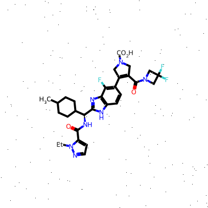 CCn1nccc1C(=O)N[C@H](c1nc2c(F)c(C3=C(C(=O)N4CC(F)(F)C4)CN(C(=O)O)C3)ccc2[nH]1)C1CCC(C)CC1